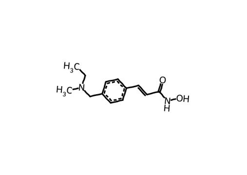 CCN(C)Cc1ccc(/C=C/C(=O)NO)cc1